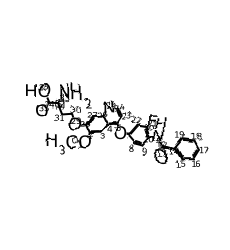 COc1cc2c(Oc3ccc(NC(=O)c4ccccc4)c(F)c3)ccnc2cc1OCC[C@H](N)C(=O)O